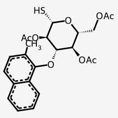 CC(=O)OC[C@H]1O[C@@H](S)[C@H](OC(C)=O)[C@@H](Oc2c(C)ccc3ccccc23)[C@@H]1OC(C)=O